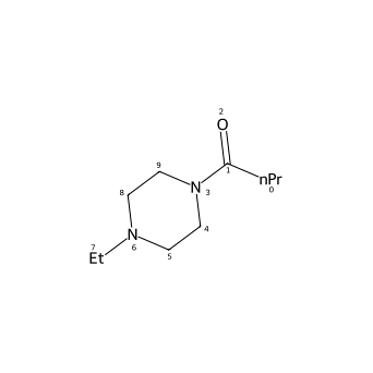 [CH2]CCC(=O)N1CCN(CC)CC1